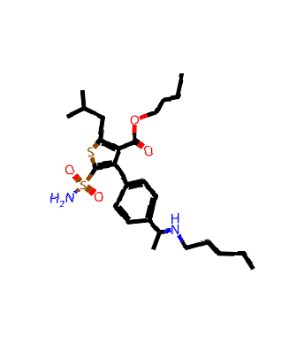 CCCCCNC(C)c1ccc(-c2c(S(N)(=O)=O)sc(CC(C)C)c2C(=O)OCCCC)cc1